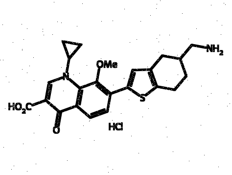 COc1c(-c2cc3c(s2)CCC(CN)C3)ccc2c(=O)c(C(=O)O)cn(C3CC3)c12.Cl